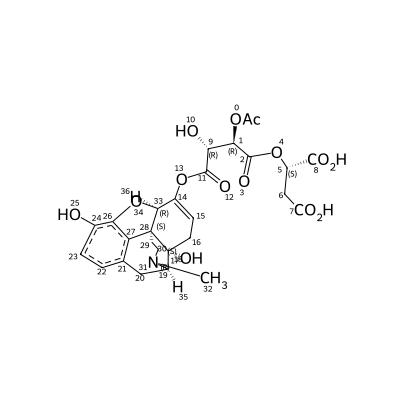 CC(=O)O[C@@H](C(=O)O[C@@H](CC(=O)O)C(=O)O)[C@@H](O)C(=O)OC1=CC[C@@]2(O)[C@H]3Cc4ccc(O)c5c4[C@@]2(CCN3C)[C@H]1O5